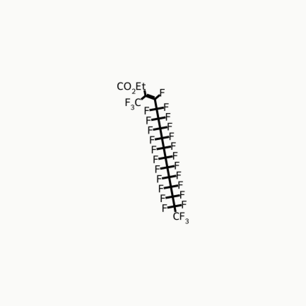 CCOC(=O)C(=C(F)C(F)(F)C(F)(F)C(F)(F)C(F)(F)C(F)(F)C(F)(F)C(F)(F)C(F)(F)C(F)(F)C(F)(F)C(F)(F)C(F)(F)F)C(F)(F)F